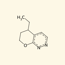 CCC1CCOc2nnccc21